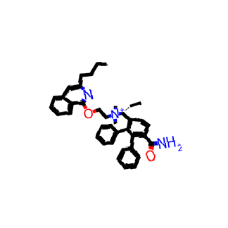 CCCCc1cc2ccccc2c(OCC[N+](C)(C)[C@H](CC)c2ccc(C(N)=O)c(-c3ccccc3)c2-c2ccccc2)n1